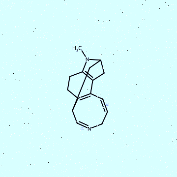 CN1C2=C3CC1CC1/C=N\C/C=C\C3=C1CC2